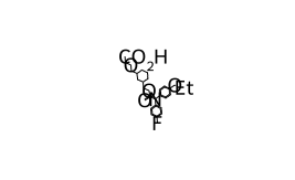 CCOc1ccc(N(C(=O)OCC2CCCC(COCC(=O)O)C2)c2ccc(F)cc2)cc1